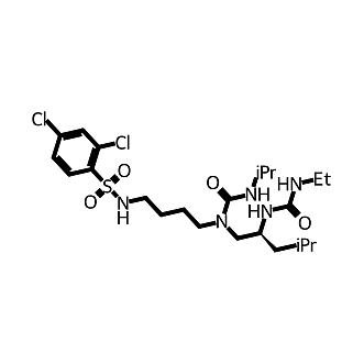 CCNC(=O)N[C@@H](CC(C)C)CN(CCCCNS(=O)(=O)c1ccc(Cl)cc1Cl)C(=O)NC(C)C